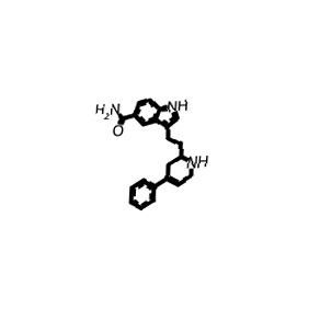 NC(=O)c1ccc2[nH]cc(CCC3CC(c4ccccc4)=CCN3)c2c1